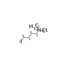 CCN(C)CCCCI